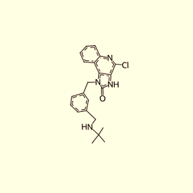 CC(C)(C)NCc1cccc(Cn2c(=O)[nH]c3c(Cl)nc4ccccc4c32)c1